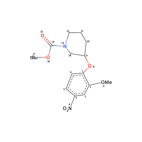 COc1cc([N+](=O)[O-])ccc1OC1CCCN(C(=O)OC(C)(C)C)C1